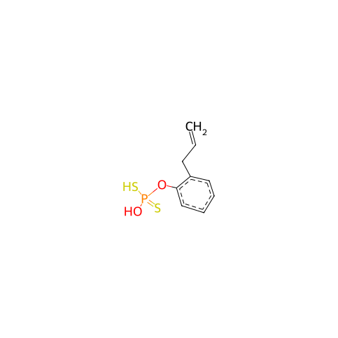 C=CCc1ccccc1OP(O)(=S)S